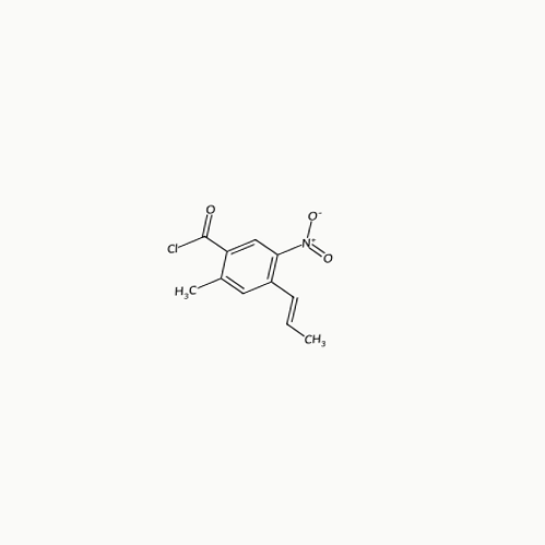 CC=Cc1cc(C)c(C(=O)Cl)cc1[N+](=O)[O-]